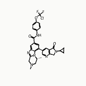 C[C@@H]1CN(C)Cc2nc3cc(C(=O)Nc4ccc(OC(F)(F)Cl)cc4)cc(-c4cnc5c(c4)C(=O)N(C4CC4)C5)c3n21